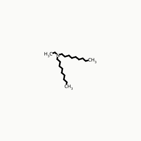 C[CH]N(CCCCCCCCC)CCCCCCCCC